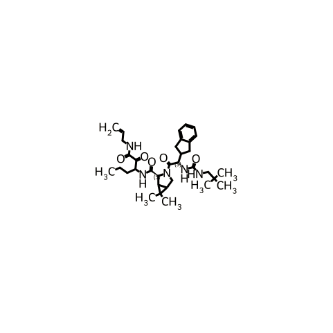 C=CCNC(=O)C(=O)C(CCC)NC(=O)[C@@H]1C2C(CN1C(=O)[C@@H](NC(=O)NCC(C)(C)C)C1Cc3ccccc3C1)C2(C)C